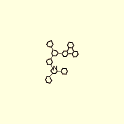 c1ccc(-c2cc(-c3cccc(-c4cc(-c5ccccc5)cc(-c5ccccc5)n4)c3)cc(-c3ccc4c5ccccc5c5ccccc5c4c3)c2)cc1